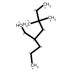 CCCC(CO)CC(C)(C)CC